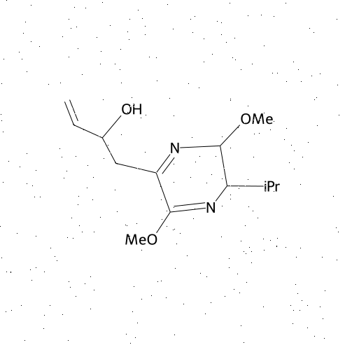 C=CC(O)CC1=NC(OC)C(C(C)C)N=C1OC